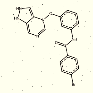 O=C(Nc1cccc(ON2C=NC=C3NNC=C32)c1)c1ccc(Br)cc1